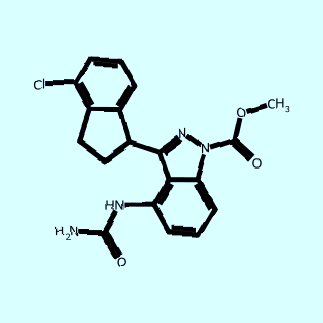 COC(=O)n1nc(C2CCc3c(Cl)cccc32)c2c(NC(N)=O)cccc21